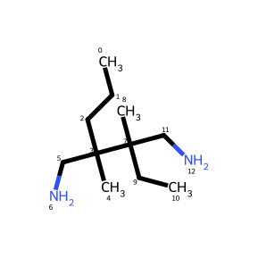 CCCC(C)(CN)C(C)(CC)CN